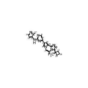 Cc1cn2cc(-c3ccnc(Nc4ccnn4C)n3)cc2c2nnc(C3(C(F)(F)F)CCC3)n12